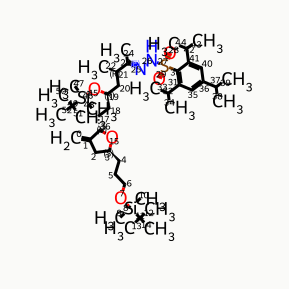 C=C1C[C@H](CCCO[Si](C)(C)C(C)(C)C)O[C@H]1CC[C@H](C[C@@H](C)/C(C)=N/NS(=O)(=O)c1c(C(C)C)cc(C(C)C)cc1C(C)C)O[Si](C)(C)C(C)(C)C